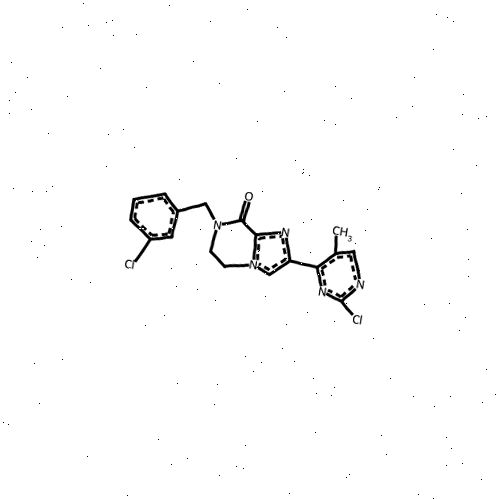 Cc1cnc(Cl)nc1-c1cn2c(n1)C(=O)N(Cc1cccc(Cl)c1)CC2